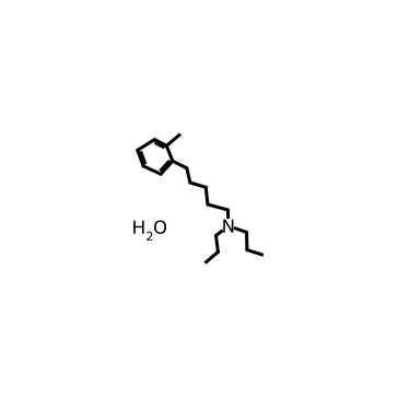 CCCN(CCC)CCCCCc1ccccc1C.O